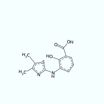 Cc1nc(Nc2cccc(C(=O)O)c2O)sc1C